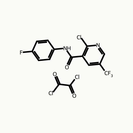 O=C(Cl)C(=O)Cl.O=C(Nc1ccc(F)cc1)c1cc(C(F)(F)F)cnc1Cl